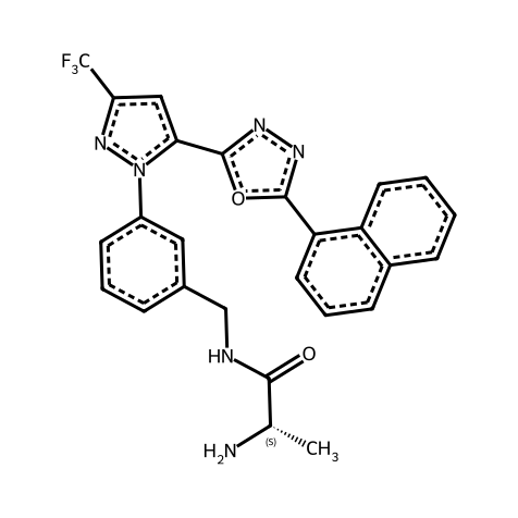 C[C@H](N)C(=O)NCc1cccc(-n2nc(C(F)(F)F)cc2-c2nnc(-c3cccc4ccccc34)o2)c1